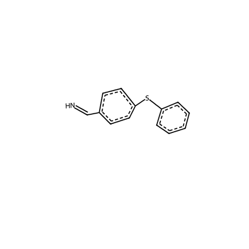 N=Cc1ccc(Sc2ccccc2)cc1